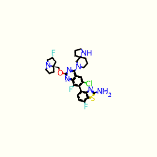 Nc1nc2c(-c3c(Cl)cc4c(N5CCCC6(CCCN6)C5)nc(OC[C@@]56CCCN5C[C@H](F)C6)nc4c3F)ccc(F)c2s1